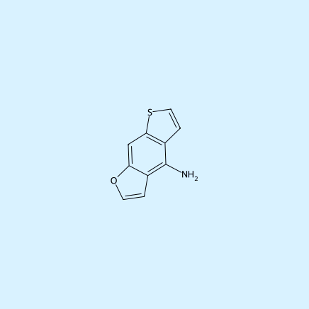 Nc1c2ccoc2cc2sccc12